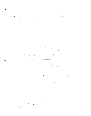 CC(C)CC(=CP(=O)(O)O)CC(C)C